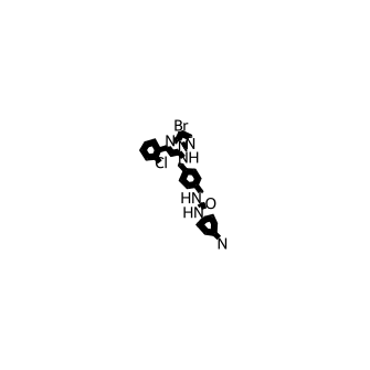 N#Cc1ccc(NC(=O)NCc2ccc(CNc3cc(-c4ccccc4Cl)nc4c(Br)cnn34)cc2)cc1